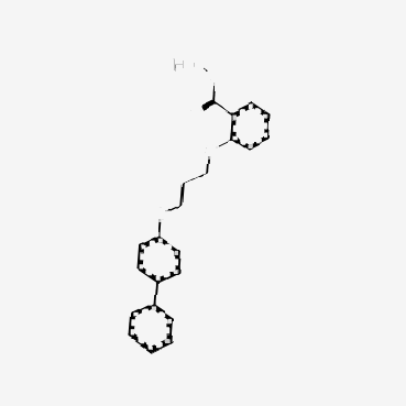 COC(=O)c1ccccc1OCCCOc1ccc(-c2ccccc2)cc1